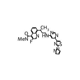 CNC(=O)c1c(F)cnc2c(C(C)CCNc3cc(-c4csc(-n5cccn5)n4)ncn3)cccc12